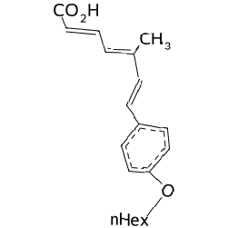 CCCCCCOc1ccc(C=CC(C)=CC=CC(=O)O)cc1